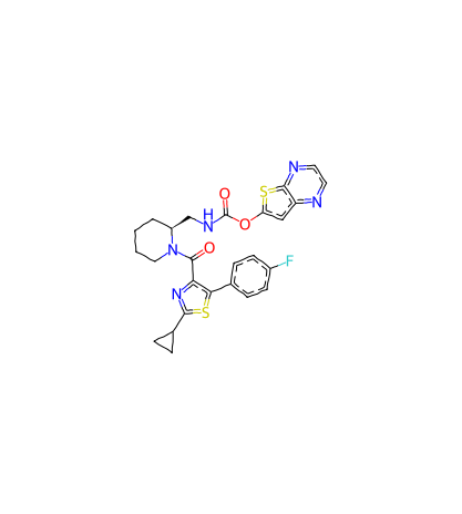 O=C(NC[C@@H]1CCCCN1C(=O)c1nc(C2CC2)sc1-c1ccc(F)cc1)Oc1cc2nccnc2s1